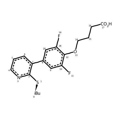 CC[C@H](C)Sc1ncccc1-c1cc(F)c(OCCCC(=O)O)c(F)c1